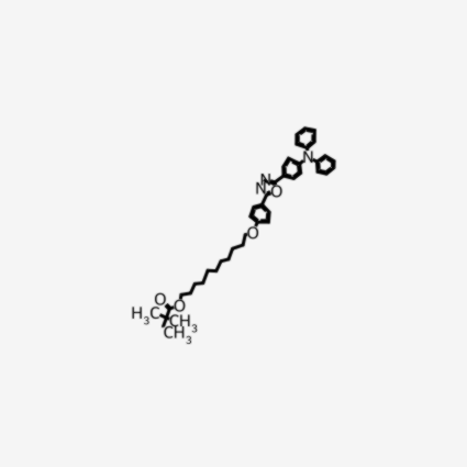 CCC(C)(C)C(=O)OCCCCCCCCCCCOc1ccc(-c2nnc(-c3ccc(N(c4ccccc4)c4ccccc4)cc3)o2)cc1